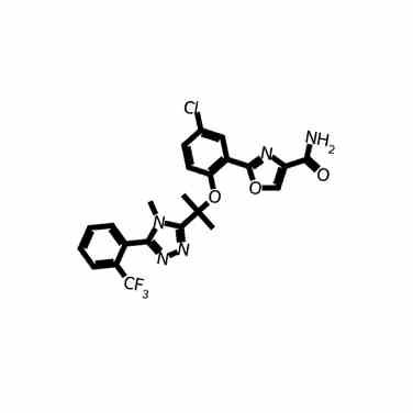 Cn1c(-c2ccccc2C(F)(F)F)nnc1C(C)(C)Oc1ccc(Cl)cc1-c1nc(C(N)=O)co1